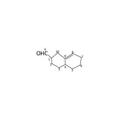 O=CC1CCC2CCCC=C2C1